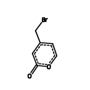 O=c1cc(CBr)cco1